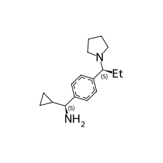 [CH2]C[C@@H](c1ccc([C@@H](N)C2CC2)cc1)N1CCCC1